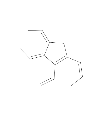 C=CC1=C(/C=C\C)CC(=C/C)/C1=C\C